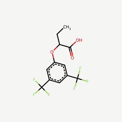 CCC(Oc1cc(C(F)(F)F)cc(C(F)(F)F)c1)C(=O)O